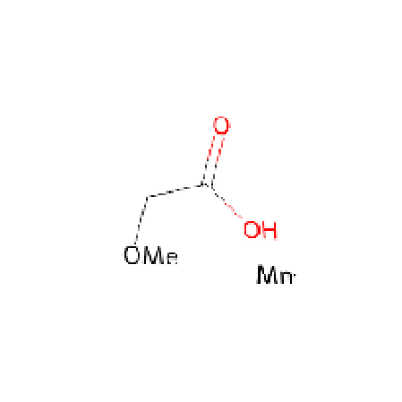 COCC(=O)O.[Mn]